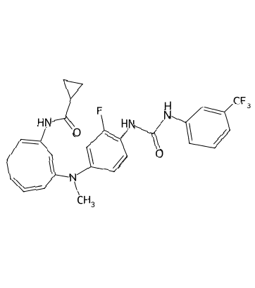 CN(/C1=C/C(NC(=O)C2CC2)=C\CC=C=C1)c1ccc(NC(=O)Nc2cccc(C(F)(F)F)c2)c(F)c1